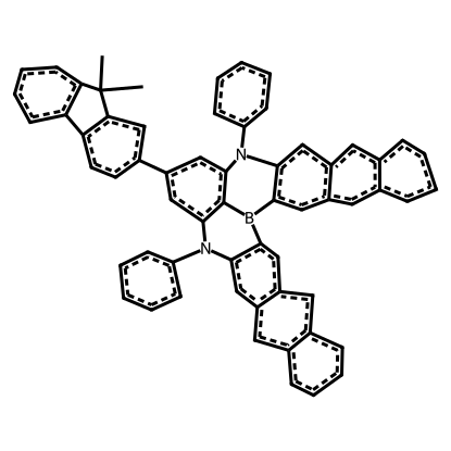 CC1(C)c2ccccc2-c2ccc(-c3cc4c5c(c3)N(c3ccccc3)c3cc6cc7ccccc7cc6cc3B5c3cc5cc6ccccc6cc5cc3N4c3ccccc3)cc21